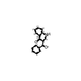 O=C(c1ccccc1)c1c[nH]c2ccccc2c1=O